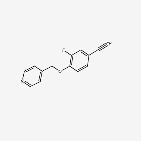 C#Cc1ccc(OCc2ccncc2)c(F)c1